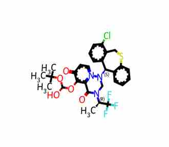 C[C@@H](N1CN([C@@H]2c3ccccc3SCc3c(Cl)cccc32)n2ccc(=O)c(OC(O)OC(C)(C)C)c2C1=O)C(F)(F)F